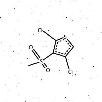 CS(=O)(=O)c1c(Cl)csc1Cl